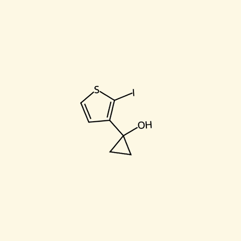 OC1(c2ccsc2I)CC1